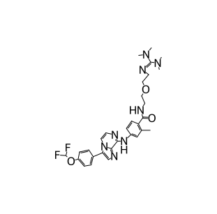 Cc1cc(Nc2nccn3c(-c4ccc(OC(F)F)cc4)cnc23)ccc1C(=O)NCCOCCN=C(N(C)C)N(C)C